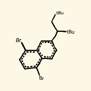 CC(C)(C)CC(c1ccc2c(Br)ccc(Br)c2c1)C(C)(C)C